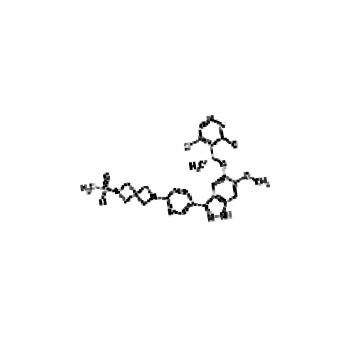 COc1cc2[nH]nc(-c3ccc(N4CC5(C4)CN(S(C)(=O)=O)C5)nc3)c2cc1O[C@H](C)c1c(Cl)cnnc1Cl